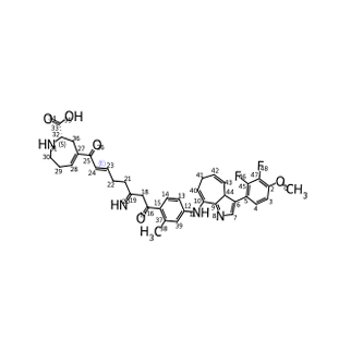 COc1ccc(C2=CN=C3C(Nc4ccc(C(=O)CC(=N)CC/C=C/C(=O)C5=CCCN[C@H](C(=O)O)C5)c(C)c4)=CCC=CC23)c(F)c1F